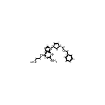 COCCOc1nc(N)nc2c1ncn2[C@H]1C=C[C@@H](COCc2ccccc2)C1